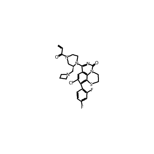 C=CC(=O)N1CCN(c2nc(=O)n3c4c(c(-c5ccc(F)cc5F)c(Cl)cc24)SCC3)[C@@H](CN2CCC2)C1